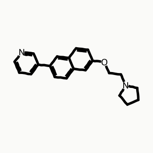 c1cncc(-c2ccc3cc(OCCN4CCCC4)ccc3c2)c1